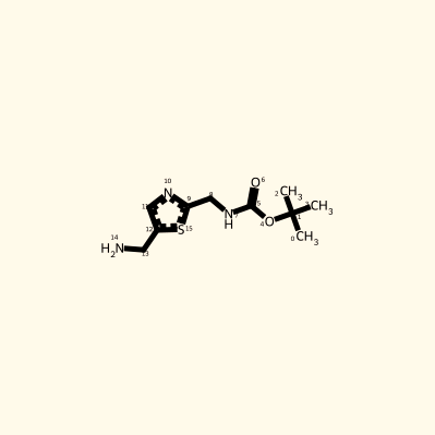 CC(C)(C)OC(=O)NCc1ncc(CN)s1